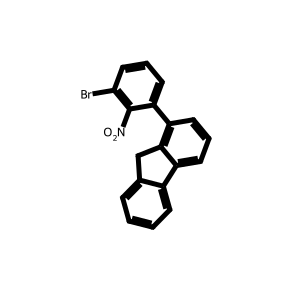 O=[N+]([O-])c1c(Br)cccc1-c1cccc2c1Cc1ccccc1-2